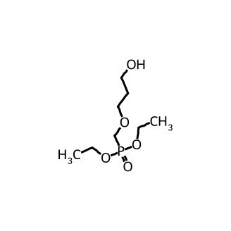 CCOP(=O)(COCCCO)OCC